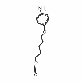 Nc1ccc(OCCCCCOC=O)cc1